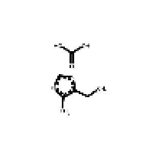 CCc1scnc1C.O=C(O)O